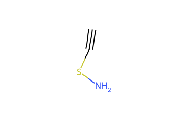 C#CSN